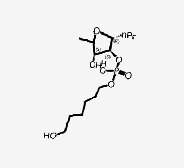 CCC[C@H]1OC(C)[C@H](O)[C@@H]1OP(=O)(O)OCCCCCCO